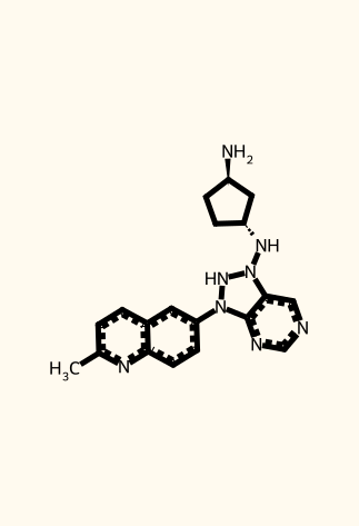 Cc1ccc2cc(N3NN(N[C@@H]4CC[C@@H](N)C4)c4cncnc43)ccc2n1